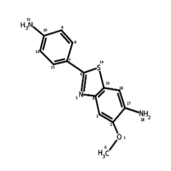 COc1cc2nc(-c3ccc(N)cc3)sc2cc1N